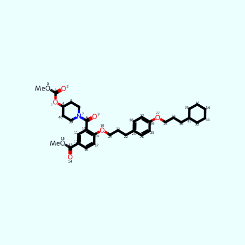 COC(=O)OC1CCN(C(=O)c2cc(C(=O)OC)ccc2OCCCc2ccc(OCCCC3CCCCC3)cc2)CC1